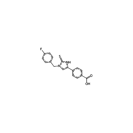 O=C(O)c1ccc(-c2cn(Cc3ccc(F)cc3)c(=S)[nH]2)cc1